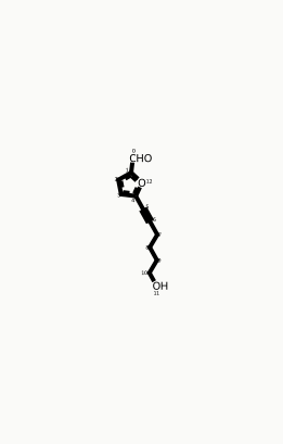 O=Cc1ccc(C#CCCCCO)o1